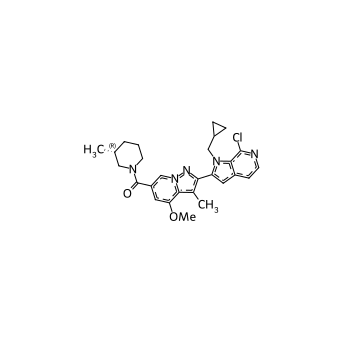 COc1cc(C(=O)N2CCC[C@@H](C)C2)cn2nc(-c3cc4ccnc(Cl)c4n3CC3CC3)c(C)c12